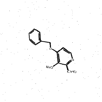 COc1c(OCc2ccccc2)ccnc1C=O